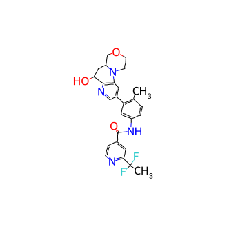 Cc1ccc(NC(=O)c2ccnc(C(C)(F)F)c2)cc1-c1cnc2c(c1)N1CCOCC1CC2O